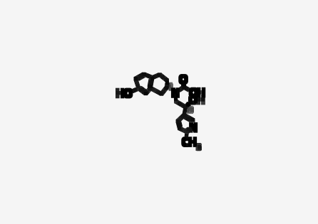 Cc1ccc([C@H](O)CN(C(=O)O)[C@H]2CCc3ccc(O)cc3C2)cn1